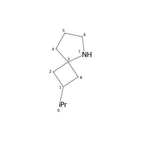 CC(C)C1CC2(CCCN2)C1